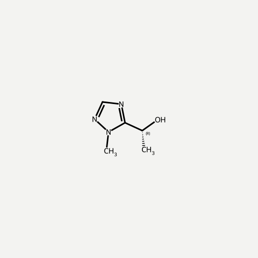 C[C@@H](O)c1ncnn1C